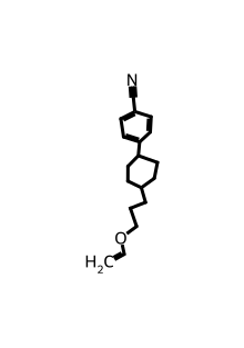 C=COCCCC1CCC(c2ccc(C#N)cc2)CC1